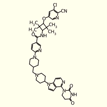 CC1(C)C(NC(=O)c2ccc(N3CCC(CN4CCC(n5ccc6c(N7CCC(=O)NC7=O)nccc65)CC4)CC3)nc2)C(C)(C)C1Oc1cnc(C#N)c(Cl)c1